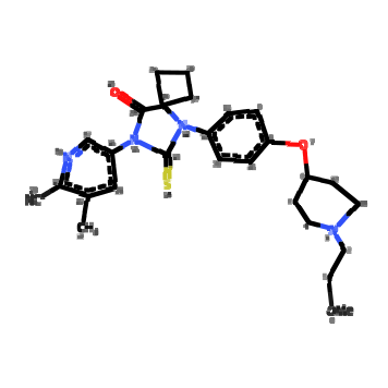 COCCN1CCC(Oc2ccc(N3C(=S)N(c4cnc(C#N)c(C)c4)C(=O)C34CCC4)cc2)CC1